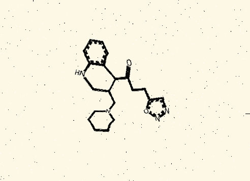 O=C(CCc1cnno1)C1c2ccccc2NCC1CN1CCCCC1